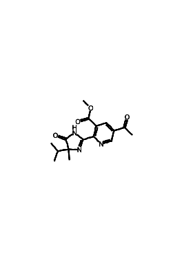 COC(=O)c1cc(C(C)=O)cnc1C1=NC(C)(C(C)C)C(=O)N1